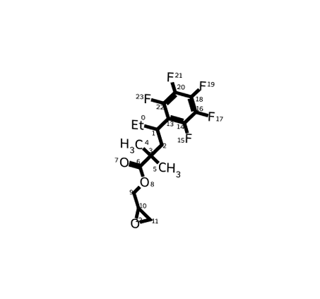 CCC(CC(C)(C)C(=O)OCC1CO1)c1c(F)c(F)c(F)c(F)c1F